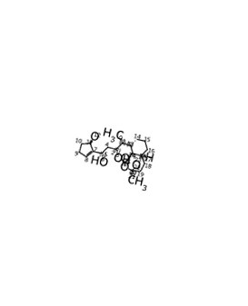 C[C@@H]([C@H](O)C[C@H](O)C1=CCCC1=O)[C@@H]1CCC[C@@H]2CC[C@@]3(C)OC[C@@]21OO3